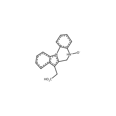 O=C(O)Cc1c2n(c3ccccc13)-c1ccccc1[NH+]([O-])C2